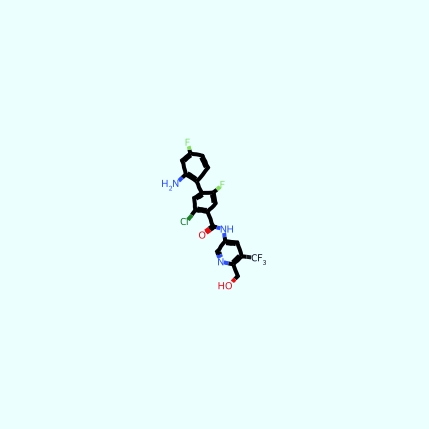 Nc1cc(F)ccc1-c1cc(Cl)c(C(=O)Nc2cnc(CO)c(C(F)(F)F)c2)cc1F